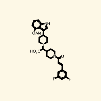 COc1cccc2[nH]cc(C3CCN(C(C(=O)O)C4CCN(C(=O)C=Cc5cc(F)cc(F)c5)CC4)CC3)c12